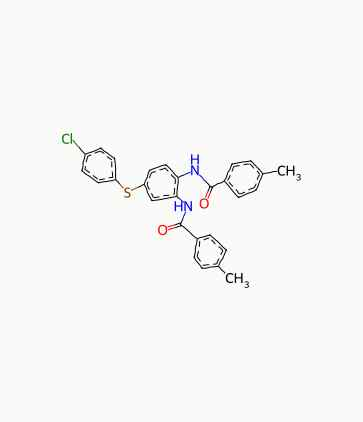 Cc1ccc(C(=O)Nc2ccc(Sc3ccc(Cl)cc3)cc2NC(=O)c2ccc(C)cc2)cc1